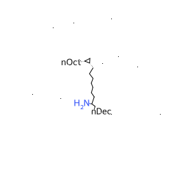 CCCCCCCCCCCC(N)CCCCCCC[C@H]1C[C@H]1CCCCCCCC